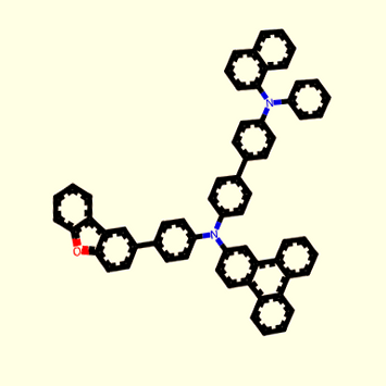 c1ccc(N(c2ccc(-c3ccc(N(c4ccc(-c5ccc6oc7ccccc7c6c5)cc4)c4ccc5c6ccccc6c6ccccc6c5c4)cc3)cc2)c2cccc3ccccc23)cc1